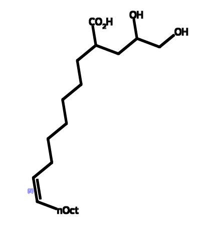 CCCCCCCC/C=C\CCCCCCC(CC(O)CO)C(=O)O